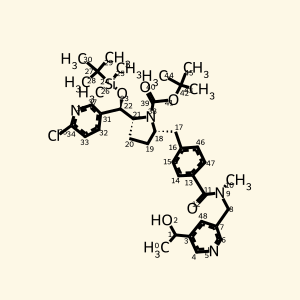 CC(O)c1cncc(CN(C)C(=O)c2ccc(C[C@@H]3CC[C@H]([C@H](O[Si](C)(C)C(C)(C)C)c4ccc(Cl)nc4)N3C(=O)OC(C)(C)C)cc2)c1